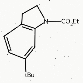 CCOC(=O)N1CCc2ccc(C(C)(C)C)cc21